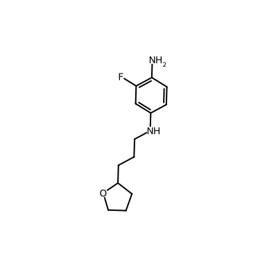 Nc1ccc(NCCCC2CCCO2)cc1F